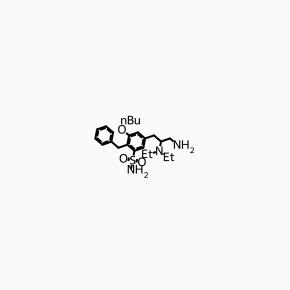 CCCCOc1cc(CC(CN)N(CC)CC)cc(S(N)(=O)=O)c1Cc1ccccc1